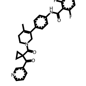 CC1=C(c2ccc(NC(=O)c3c(F)cccc3F)cc2)CN(C(=O)C2(C(=O)c3cccnc3)CC2)CC1